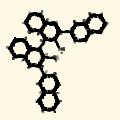 Oc1c(-c2ccc3ccccc3c2)cc2ccccc2c1-c1c(O)c(-c2ccc3ccccc3c2)cc2ccccc12